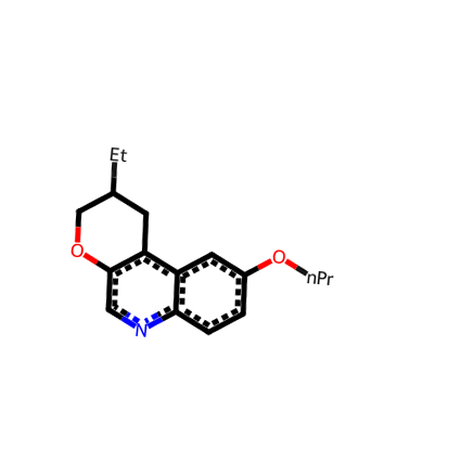 CCCOc1ccc2ncc3c(c2c1)CC(CC)CO3